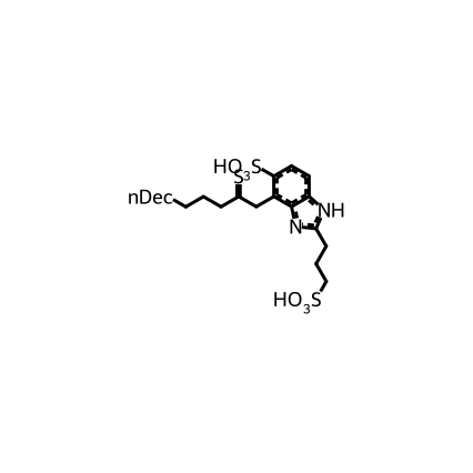 CCCCCCCCCCCCCC(=S)Cc1c(S(=O)(=O)O)ccc2[nH]c(CCCS(=O)(=O)O)nc12